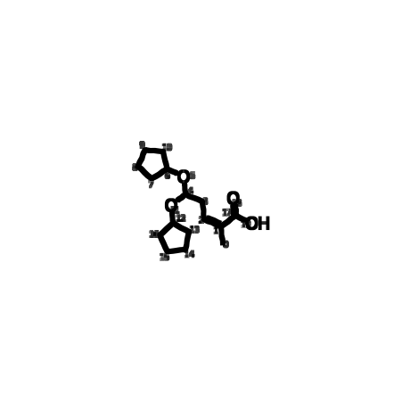 CC(=CCC(OC1CCCC1)OC1CCCC1)C(=O)O